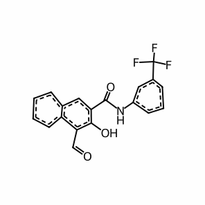 O=Cc1c(O)c(C(=O)Nc2cccc(C(F)(F)F)c2)cc2ccccc12